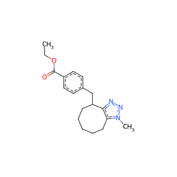 CCOC(=O)c1ccc(CC2CCCCCc3c2nnn3C)cc1